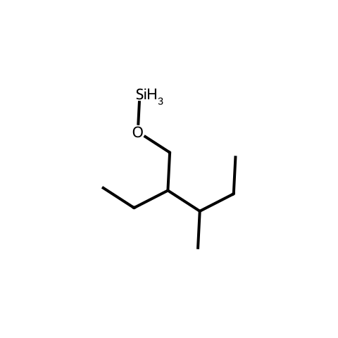 CCC(C)C(CC)CO[SiH3]